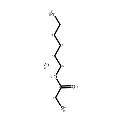 CC(C)CCCCCOC(=O)CS.[Zn]